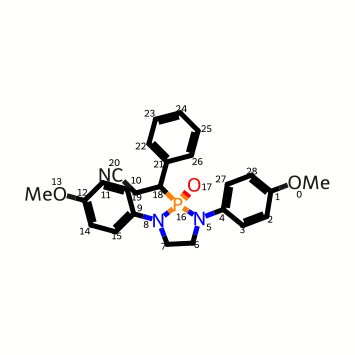 COc1ccc(N2CCN(c3ccc(OC)cc3)P2(=O)C(CC#N)c2ccccc2)cc1